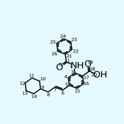 O=C(Nc1cc(C=CCC2CCCCC2)ccc1C(=O)O)c1ccccc1